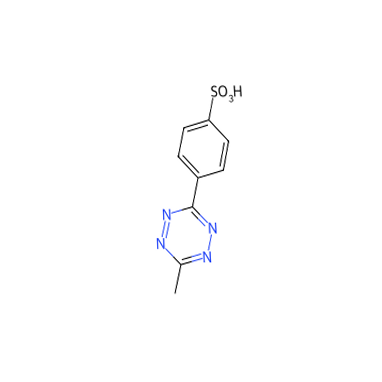 Cc1nnc(-c2ccc(S(=O)(=O)O)cc2)nn1